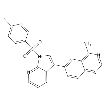 Cc1ccc(S(=O)(=O)n2cc(-c3ccc4ncnc(N)c4c3)c3cccnc32)cc1